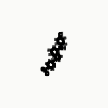 O=[N+]([O-])c1ccc(-n2ccc3c(Nc4ccc(Cl)cc4)cccc32)nc1